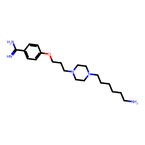 N=C(N)c1ccc(OCCCN2CCN(CCCCCCN)CC2)cc1